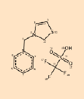 C1=CN(Cc2ccccc2)CS1.O=S(=O)(O)C(F)(F)F